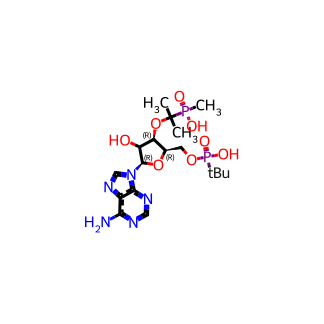 CC(C)(O[C@@H]1C(O)[C@H](n2cnc3c(N)ncnc32)O[C@@H]1COP(=O)(O)C(C)(C)C)P(C)(=O)O